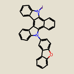 In1c2ccccc2c2c3c4ccccc4n(-c4ccc5oc6ccccc6c5c4)c3c3ccccc3c21